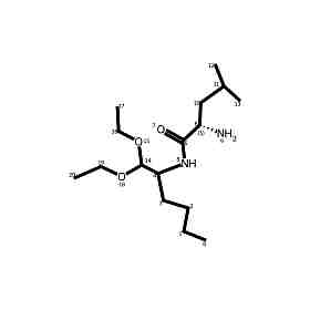 CCCCC(NC(=O)[C@@H](N)CC(C)C)C(OCC)OCC